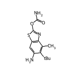 Cc1c(C(C)(C)C)c(N)cc2sc(OC(N)=O)nc12